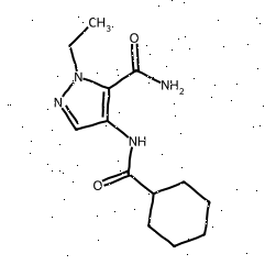 CCn1ncc(NC(=O)C2CCCCC2)c1C(N)=O